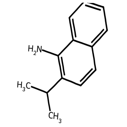 CC(C)c1ccc2ccccc2c1N